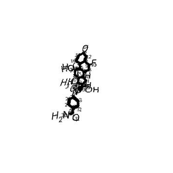 C[C@]12C[C@H](O)[C@@]3(F)[C@@H](C[C@H](F)C4=CC(=O)C=C[C@@]43C)[C@]1(C)C[C@H]1CN(c3ccc(C(N)=O)cc3)O[C@]12C(=O)CO